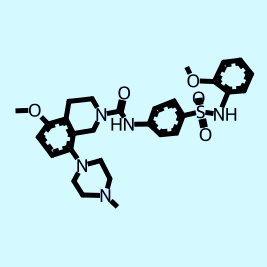 COc1ccccc1NS(=O)(=O)c1ccc(NC(=O)N2CCc3c(OC)ccc(N4CCN(C)CC4)c3C2)cc1